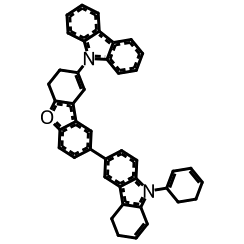 C1=CCCC(n2c3c(c4cc(-c5ccc6oc7c(c6c5)C=C(n5c6ccccc6c6ccccc65)CC7)ccc42)CCC=C3)=C1